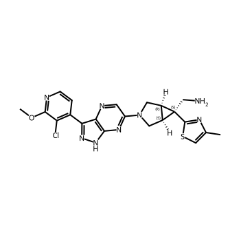 COc1nccc(-c2n[nH]c3nc(N4C[C@@H]5[C@H](C4)[C@]5(CN)c4nc(C)cs4)cnc23)c1Cl